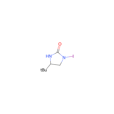 CC(C)(C)C1CN(I)C(=O)N1